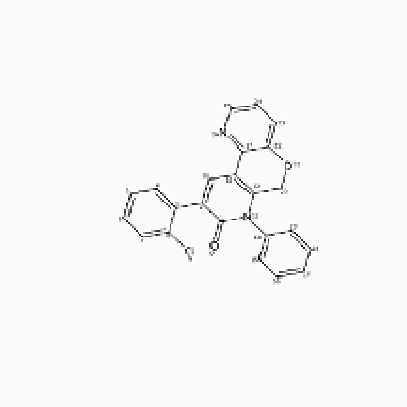 O=c1c(-c2ccccc2Cl)cc2c(n1-c1ccccc1)COc1cccnc1-2